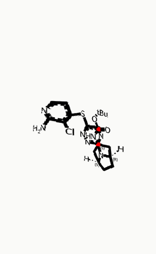 CC(C)(C)OC(=O)N[C@@H]1C[C@H]2CC[C@@H](C1)N2c1ncc(Sc2ccnc(N)c2Cl)nn1